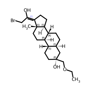 CCOC[C@@]1(O)CC[C@H]2[C@@H](CC[C@@H]3[C@@H]2CC[C@]2(C)/C(=C(/O)CBr)CC[C@@H]32)C1